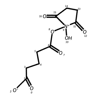 O=C([O-])CCCC(=O)O[N+]1(O)C(=O)CCC1=O